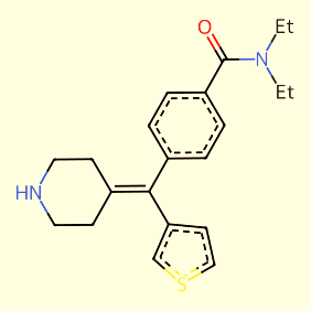 CCN(CC)C(=O)c1ccc(C(=C2CCNCC2)c2ccsc2)cc1